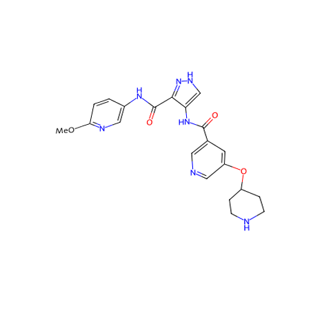 COc1ccc(NC(=O)c2n[nH]cc2NC(=O)c2cncc(OC3CCNCC3)c2)cn1